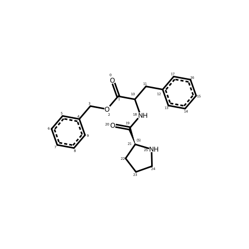 O=C(OCc1ccccc1)C(Cc1ccccc1)NC(=O)[C@@H]1CCCN1